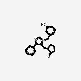 O=C1CCCC1Cc1c(-c2ccccc2)ncn1Cc1cccc(O)c1